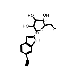 C#Cc1ccc2cc([C@H]3OC(CO)[C@@H](O)C(O)C3O)[nH]c2c1